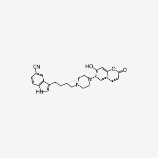 N#Cc1ccc2[nH]cc(CCCCN3CCN(c4cc5ccc(=O)oc5cc4O)CC3)c2c1